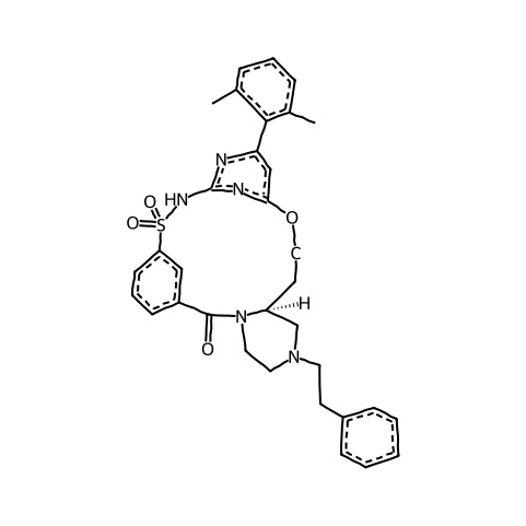 Cc1cccc(C)c1-c1cc2nc(n1)NS(=O)(=O)c1cccc(c1)C(=O)N1CCN(CCc3ccccc3)C[C@@H]1CCO2